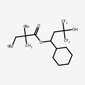 CC(C)(C)CC(C)(C(=O)OC(CC(O)(C(F)(F)F)C(F)(F)F)C1CCCCC1)C(C)(C)C